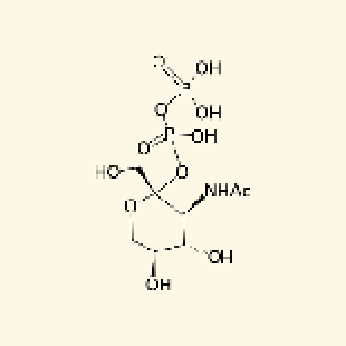 CC(=O)N[C@H]1[C@H](O)[C@@H](O)CO[C@]1(CO)OP(=O)(O)OP(=O)(O)O